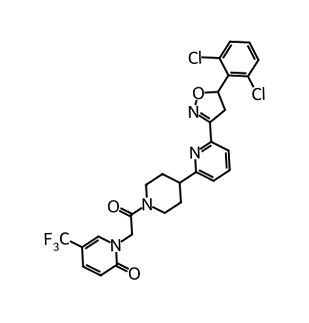 O=C(Cn1cc(C(F)(F)F)ccc1=O)N1CCC(c2cccc(C3=NOC(c4c(Cl)cccc4Cl)C3)n2)CC1